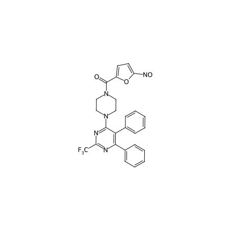 O=Nc1ccc(C(=O)N2CCN(c3nc(C(F)(F)F)nc(-c4ccccc4)c3-c3ccccc3)CC2)o1